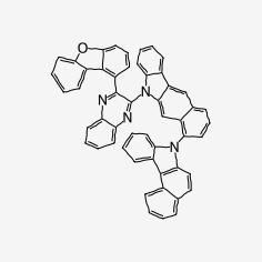 c1cc(-n2c3ccccc3c3c4ccccc4ccc32)c2cc3c(cc2c1)c1ccccc1n3-c1nc2ccccc2nc1-c1cccc2oc3ccccc3c12